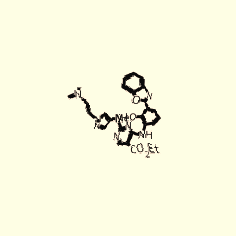 CCOC(=O)c1cnc(Nc2cnn(CCN(C)C)c2)nc1Nc1cccc(-c2nc3ccccc3o2)c1OC